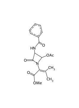 COC(=O)C(=C(C)C)N1C(=O)C(NC(=O)c2ccccc2)C1OC(C)=O